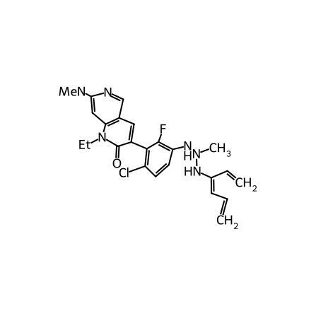 C=C/C=C(\C=C)NN(C)Nc1ccc(Cl)c(-c2cc3cnc(NC)cc3n(CC)c2=O)c1F